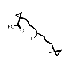 CC1(CCCC(O)CCCC2(C(=O)O)CC2)CC1